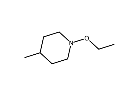 CCON1CCC(C)CC1